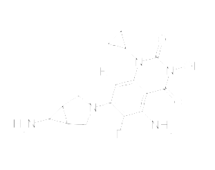 Nc1c(F)c(N2CC3C(N)C3C2)c(F)c2c1c(=O)n(O)c(=O)n2C1CC1